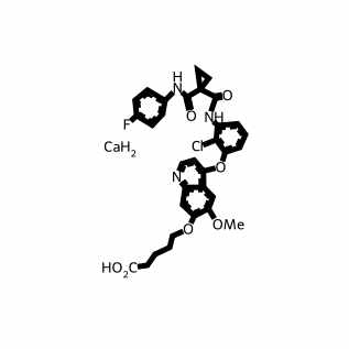 COc1cc2c(Oc3cccc(NC(=O)C4(C(=O)Nc5ccc(F)cc5)CC4)c3Cl)ccnc2cc1OCCCCC(=O)O.[CaH2]